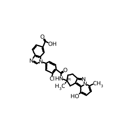 Cc1ccc(O)c2c3c(nn12)CC[C@@](C)(NC(=O)c1ccc(-n2cnc4ccc(C(=O)O)cc42)cc1Cl)C3